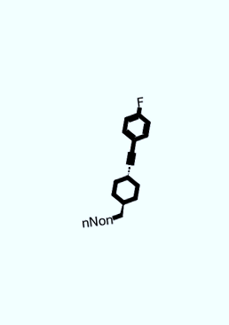 CCCCCCCCCC[C@H]1CC[C@H](C#Cc2ccc(F)cc2)CC1